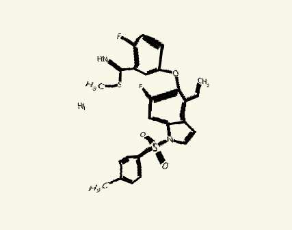 C=Cc1c(Oc2ccc(F)c(C(=N)SC)c2)c(F)cc2c1ccn2S(=O)(=O)c1ccc(C)cc1.I